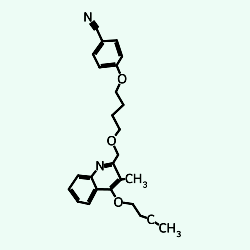 CCCCOc1c(C)c(COCCCCOc2ccc(C#N)cc2)nc2ccccc12